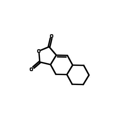 O=C1OC(=O)C2CC3CCCCC3C=C12